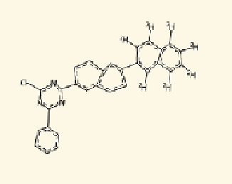 [2H]c1c([2H])c([2H])c2c([2H])c(-c3ccc4cc(-c5nc(Cl)nc(-c6ccccc6)n5)ccc4c3)c([2H])c([2H])c2c1[2H]